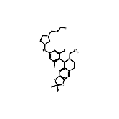 FCCCN1CCC(Nc2cc(F)c(C3c4cc5c(cc4CCN3CC(F)(F)F)OC(F)(F)O5)c(F)c2)C1